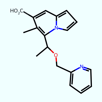 Cc1c(C(=O)O)cc2cccn2c1C(C)OCc1ccccn1